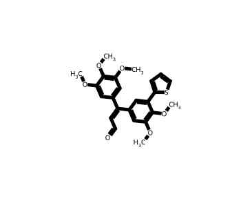 COc1cc(C(=CC=O)c2cc(OC)c(OC)c(-c3cccs3)c2)cc(OC)c1OC